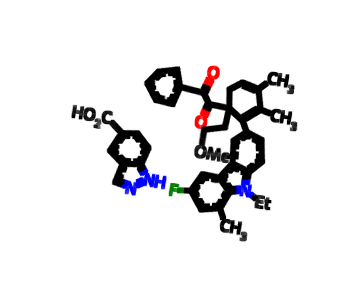 CCn1c2ccc(C3=C(C)C(C)=CCC3(CCOC)C(=O)C(=O)c3ccccc3)cc2c2cc(F)cc(C)c21.O=C(O)c1ccc2[nH]ncc2c1